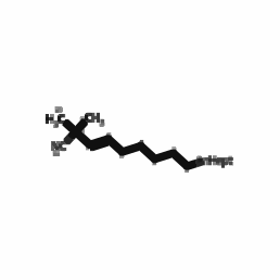 CCCCCCCCCCCCC=CC(C)(C)C#N